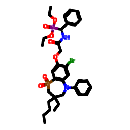 CCCCC1(CC)CN(c2ccccc2)c2cc(Br)c(OCC(=O)N[C@H](c3ccccc3)P(=O)(OCC)OCC)cc2S(=O)(=O)C1